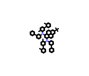 Cc1ccccc1-c1ccc(C)c(N(c2cccc(-c3ccccc3)c2)c2cc(N(c3cccc(-c4ccccc4)c3)c3cc(-c4ccccc4C)ccc3C)c3ccc4cc(C(C)(C)C)cc5ccc2c3c54)c1